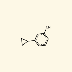 N#Cc1cccc(C2CC2)c1